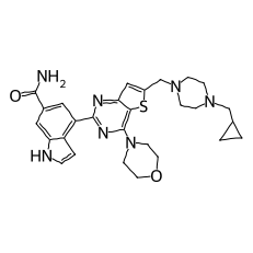 NC(=O)c1cc(-c2nc(N3CCOCC3)c3sc(CN4CCN(CC5CC5)CC4)cc3n2)c2cc[nH]c2c1